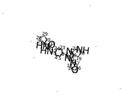 O=C(Nc1ccc(-c2nc3c(c(N4CCOCC4)n2)CCNC3)cc1)NC1CCCC1